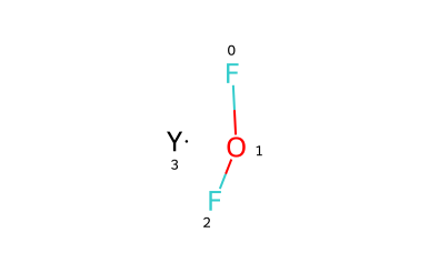 FOF.[Y]